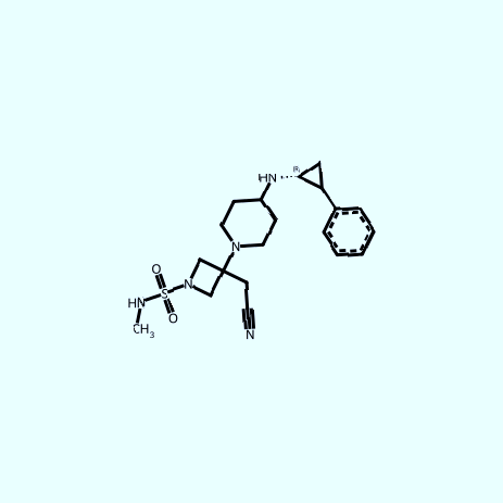 CNS(=O)(=O)N1CC(CC#N)(N2CCC(N[C@@H]3CC3c3ccccc3)CC2)C1